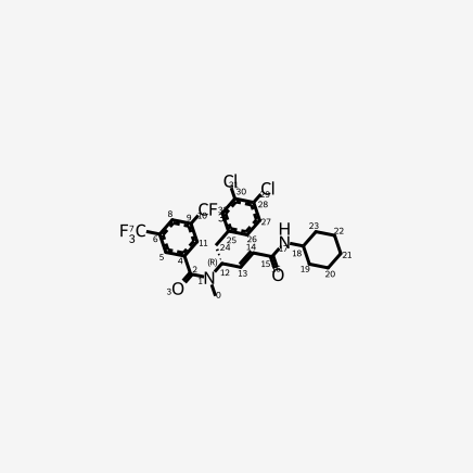 CN(C(=O)c1cc(C(F)(F)F)cc(C(F)(F)F)c1)[C@@H](C=CC(=O)NC1CCCCC1)Cc1ccc(Cl)c(Cl)c1